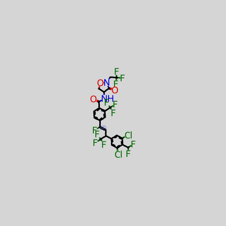 O=C(NC1CON(CC(F)(F)F)C1=O)c1ccc(/C(F)=C/C(c2cc(Cl)c(C(F)F)c(Cl)c2)C(F)(F)F)cc1C(F)(F)F